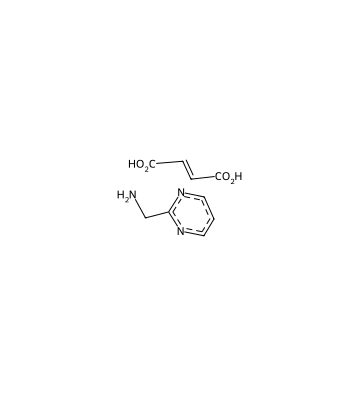 NCc1ncccn1.O=C(O)C=CC(=O)O